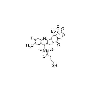 CCN(C(=O)CCCS)[C@H]1CCc2c(C)c(F)cc3nc4c(c1c23)Cn1c-4cc2c(c1=O)COC(=O)[C@]2(O)CC